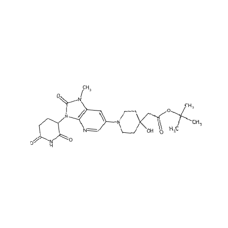 Cn1c(=O)n(C2CCC(=O)NC2=O)c2ncc(N3CCC(O)(CC(=O)OC(C)(C)C)CC3)cc21